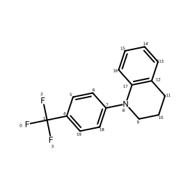 FC(F)(F)c1ccc(N2CCCc3[c]cccc32)cc1